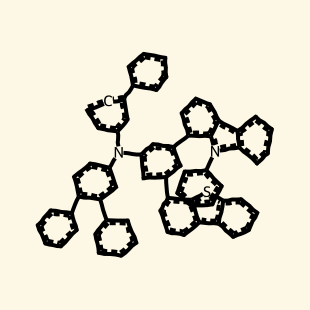 c1ccc(-c2cccc(N(c3cc(-c4cccc5c4sc4ccccc45)cc(-c4cccc5c6ccccc6n(-c6ccccc6)c45)c3)c3ccc(-c4ccccc4)c(-c4ccccc4)c3)c2)cc1